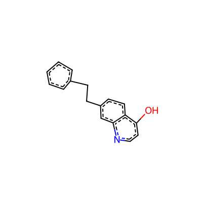 Oc1ccnc2cc(CCc3ccccc3)ccc12